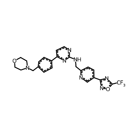 FC(F)(F)c1nc(-c2ccc(CNc3nccc(-c4ccc(CN5CCOCC5)cc4)n3)nc2)no1